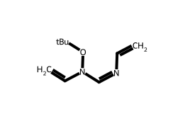 C=C/N=C\N(C=C)OC(C)(C)C